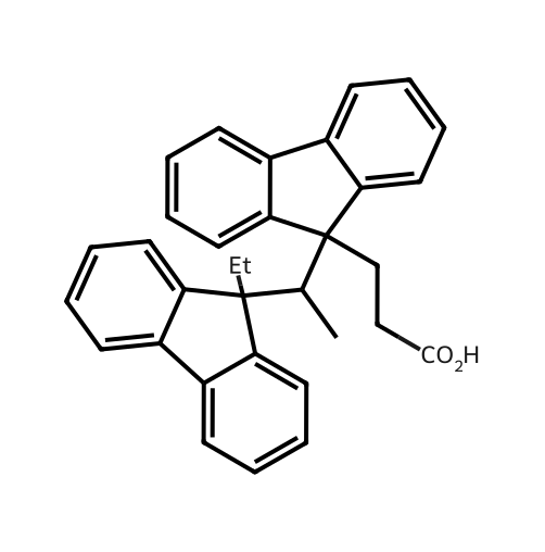 CCC1(C(C)C2(CCC(=O)O)c3ccccc3-c3ccccc32)c2ccccc2-c2ccccc21